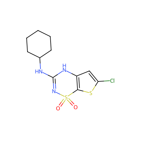 O=S1(=O)N=C(NC2CCCCC2)Nc2cc(Cl)sc21